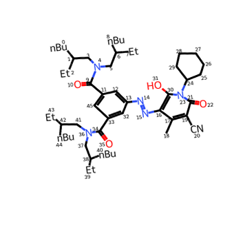 CCCCC(CC)CN(CC(CC)CCCC)C(=O)c1cc(/N=N/c2c(C)c(C#N)c(=O)n(C3CCCCC3)c2O)cc(C(=O)N(CC(CC)CCCC)CC(CC)CCCC)c1